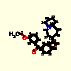 CCOc1cccc(C(=O)c2ccc3scc(C4CCC5CCCCN5CC4)c3c2)c1